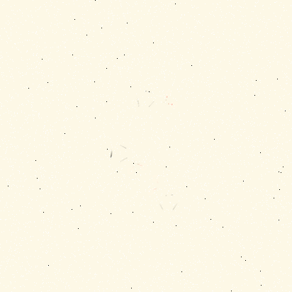 Cc1ccc(S(=O)(=O)SCCC2CCCCC(CCSS(=O)(=O)c3ccc(C)cc3)C(CCSS(=O)(=O)c3ccc(C)cc3)C2)cc1